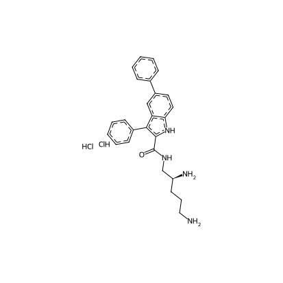 Cl.Cl.NCCC[C@H](N)CNC(=O)c1[nH]c2ccc(-c3ccccc3)cc2c1-c1ccccc1